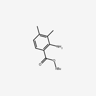 CCCCOC(=O)c1ccc(C)c(C)c1N